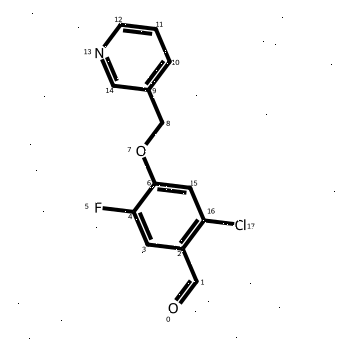 O=Cc1cc(F)c(OCc2cccnc2)cc1Cl